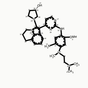 COc1cc(N(C)CCN(C)C)c(N)cc1Nc1nccc(-c2c(N3CC[C@H](O)C3)n3c4c(cccc24)CCC3)n1